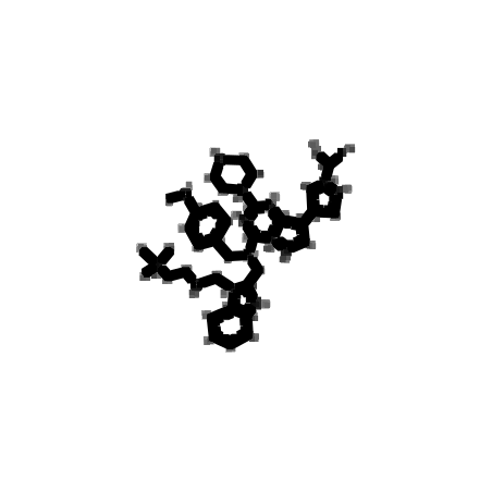 COc1ccc(CN(Cc2nc3ccccc3n2COCCS(C)(C)C)c2nc(N3CCOCC3)nc3c(-c4cnn(C(F)F)c4)cnn23)cc1